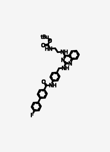 CC(C)(C)OC(=O)NCCNc1nc(NCc2ccc(NC(=O)c3ccc(-c4ccc(F)cc4)cc3)cc2)nc2ccccc12